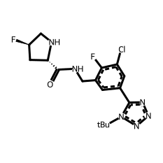 CC(C)(C)n1nnnc1-c1cc(Cl)c(F)c(CNC(=O)[C@@H]2C[C@@H](F)CN2)c1